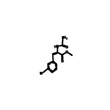 BC(=O)N/C(=C/c1cccc(Br)c1)C(=O)OC